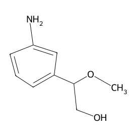 COC(CO)c1cccc(N)c1